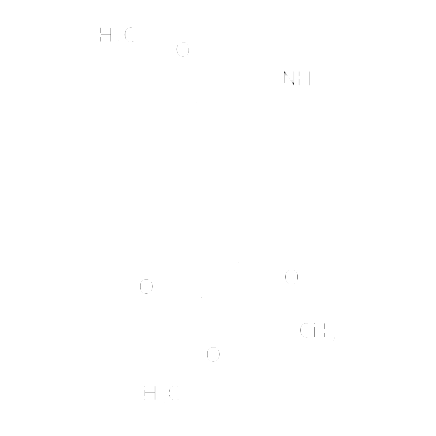 COC(=O)C(OC)c1ccc(OC)c(N)c1